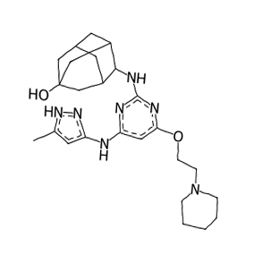 Cc1cc(Nc2cc(OCCN3CCCCC3)nc(NC3C4CC5CC3CC(O)(C5)C4)n2)n[nH]1